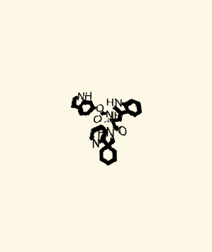 C[C@@](Cc1c[nH]c2ccccc12)(NC(=O)Oc1ccc2cc[nH]c2c1)C(=O)NCC1(c2ccccn2)CCCCC1